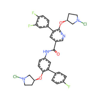 O=C(Nc1ccc(O[C@H]2CCN(Cl)C2)c(-c2ccc(F)cc2)c1)c1cnc(O[C@H]2CCN(Cl)C2)c(-c2ccc(F)c(F)c2)c1